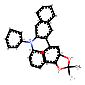 CC1(C)Oc2ccc(-c3cc4ccccc4cc3N(c3ccccc3)c3ccccc3)cc2O1